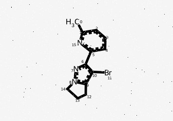 Cc1cccc(-c2nn3c(c2Br)CCC3)n1